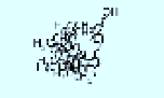 CC(C)(C)C(=O)OC[C@H]1O[C@@H](Oc2n[nH]c3cccc(CCc4ccc(OCCCO)cc4)c23)[C@H](OC(=O)C(C)(C)C)[C@@H](OC(=O)C(C)(C)C)[C@@H]1OC(=O)C(C)(C)C